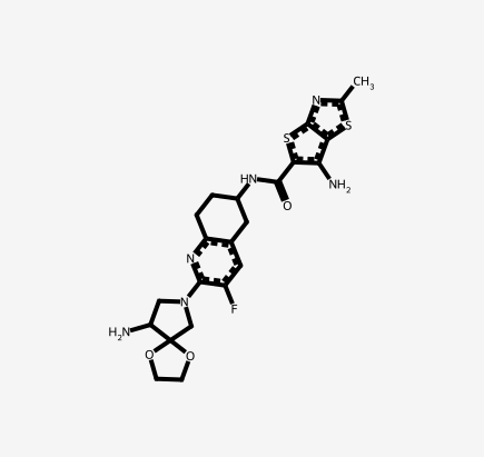 Cc1nc2sc(C(=O)NC3CCc4nc(N5CC(N)C6(C5)OCCO6)c(F)cc4C3)c(N)c2s1